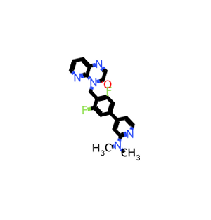 CN(C)c1cc(-c2cc(F)c(Cn3c(=O)cnc4cccnc43)c(F)c2)ccn1